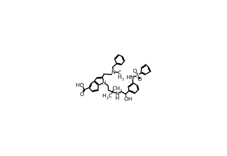 CN(CCc1cc2cc(C(=O)O)ccc2n1CCC(C)(C)NC[C@H](O)c1cccc(NS(=O)(=O)c2ccccc2)c1)Cc1ccccc1